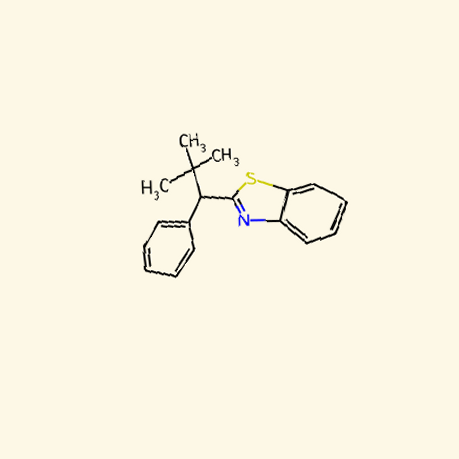 CC(C)(C)C(c1ccccc1)c1nc2ccccc2s1